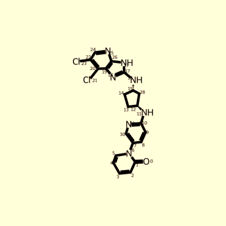 O=c1ccccn1-c1ccc(N[C@H]2CC[C@H](Nc3nc4c(Cl)c(Cl)cnc4[nH]3)C2)nc1